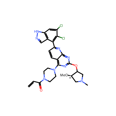 C=CC(=O)N1CCN(c2nc(OC3CN(C)C[C@H]3OC)nc3nc(-c4c(Cl)c(Cl)cc5[nH]ncc45)ccc23)CC1